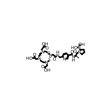 C[C@@H](NC(=O)c1ccc(CNC(=O)CN2CCN(CC(=O)O)CCN(CC(=O)O)CCN(CC(=O)O)CC2)nc1)C(=O)N1CCC[C@H]1B(O)O